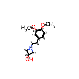 COc1ccc(CCN2CC(O)C2)cc1OC